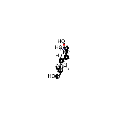 Cc1c(Nc2nccc3cc(CN4CC[C@@H](O)C4)cnc23)cccc1-c1cccc(-c2nc3/c(=N/O)n(CCO)ccc3o2)c1C